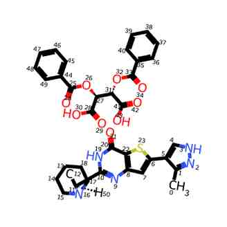 Cc1n[nH]cc1-c1cc2nc([C@@H]3CC4CCN3CC4)[nH]c(=O)c2s1.O=C(O[C@H](C(=O)O)[C@H](OC(=O)c1ccccc1)C(=O)O)c1ccccc1